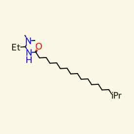 CCC(NC(=O)CCCCCCCCCCCCCCC(C)C)N(C)C